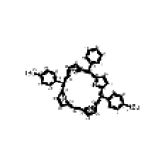 CC(C)(C)c1ccc(-c2c3nc(c(-c4ccccc4)c4ccc([nH]4)c(-c4ccc(C(C)(C)C)cc4)c4nc(cc5ccc2[nH]5)C=C4)C=C3)cc1